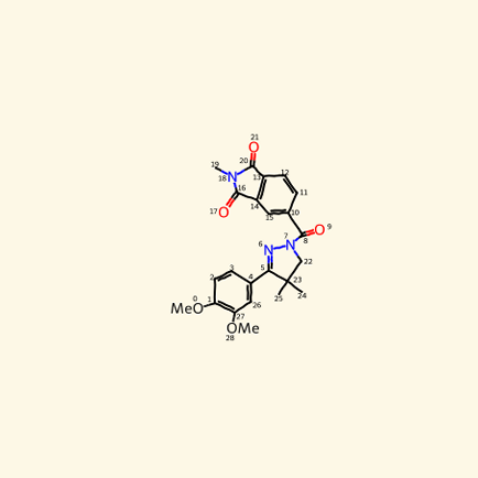 COc1ccc(C2=NN(C(=O)c3ccc4c(c3)C(=O)N(C)C4=O)CC2(C)C)cc1OC